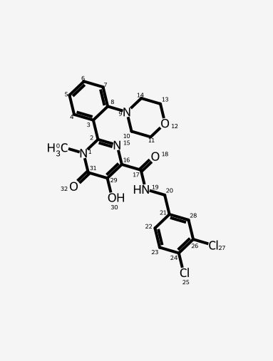 Cn1c(-c2ccccc2N2CCOCC2)nc(C(=O)NCc2ccc(Cl)c(Cl)c2)c(O)c1=O